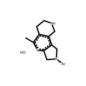 CC(=O)N1Cc2nc(C)c3c(c2C1)CNCC3.Cl